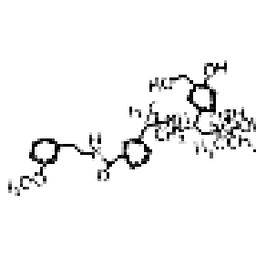 COc1cccc(CCNC(=O)c2cccc(CC(C)(C)NC[C@H](CC(C)(C)[Si](C)(C)O)c3ccc(O)c(CO)c3)c2)c1